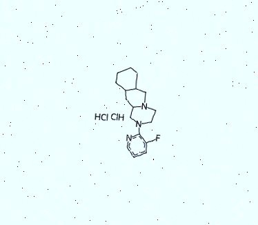 Cl.Cl.Fc1cccnc1N1CCN2CC3CCCCC3CC2C1